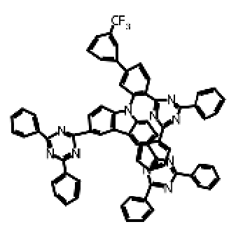 FC(F)(F)c1cccc(-c2ccc(-c3nc(-c4ccccc4)nc(-c4ccccc4)n3)c(-n3c4ccc(-c5nc(-c6ccccc6)nc(-c6ccccc6)n5)cc4c4cc(-c5nc(-c6ccccc6)nc(-c6ccccc6)n5)ccc43)c2)c1